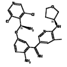 Cc1cc(C(=N)c2cc(O[C@H](N)c3c(Cl)cncc3Cl)ccc2N)cnc1N[C@H]1CCOC1